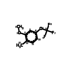 COc1cc(OC(F)(F)F)ccc1C